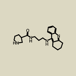 O=C(NCCCNc1c2c(nc3ccccc13)CCCC2)C1CCCNC1